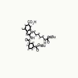 Cc1cc(C(=O)O)cc2c1nc(NC(=O)c1cccc(C(=O)OC(C)(C)C)c1)n2CCCCCNC(=O)OC(C)(C)C